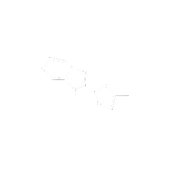 Cc1cc(-c2nc3ccncc3[nH]2)n(C)c1